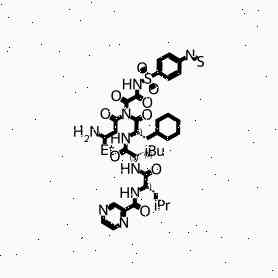 CCC(N)CC(=O)N(C(=O)C(=O)NS(=O)(=O)c1ccc(N=S)cc1)C(=O)[C@H](CC1CCCCC1)NC(=O)[C@@H](NC(=O)[C@H](CC(C)C)NC(=O)c1cnccn1)[C@@H](C)CC